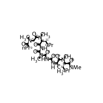 CCCC(=O)N(C)CC(=O)N(C)[C@@H](CC(C)C)C(=O)NC(=O)N(C)C(=O)NC(=O)N[C@@H](C)C(=O)N(C)[C@@H](CC(C)C)C(=O)NC